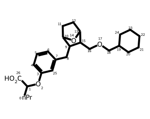 CCCC(Oc1cccc(CC2C3CCC(O3)C2COCC2CCCCC2)c1)C(=O)O